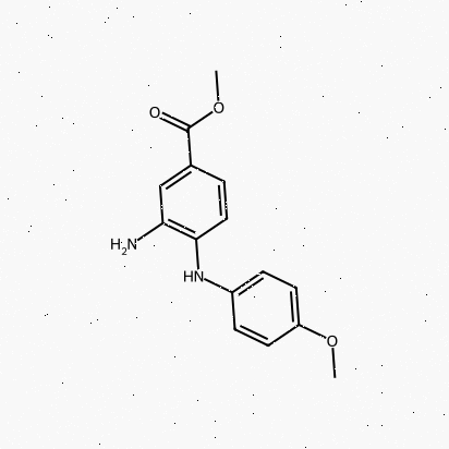 COC(=O)c1ccc(Nc2ccc(OC)cc2)c(N)c1